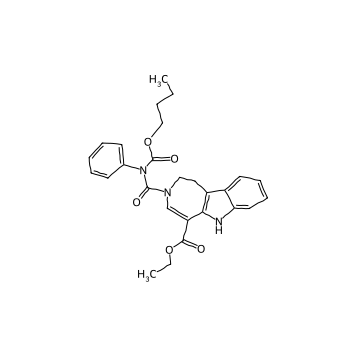 CCCCOC(=O)N(C(=O)N1C=C(C(=O)OCC)c2[nH]c3ccccc3c2CC1)c1ccccc1